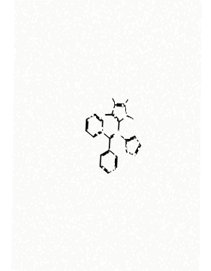 CC1=C(C)C(C)[C]([Ti+2]([C]2=CC=CC2)=[C](c2ccccc2)c2ccccc2)=C1C.[Cl-].[Cl-]